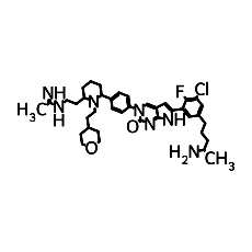 CC(=N)NCCC1CCCC(c2ccc(-n3cc4cc(-c5cc(CCCC(C)N)cc(Cl)c5F)[nH]c4nc3=O)cc2)N1CCC1CCOCC1